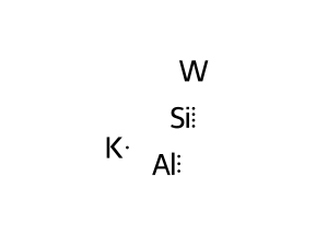 [Al].[K].[Si].[W]